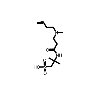 C=CCCN(C)CCC(=O)NC(C)(C)CS(=O)(=O)O